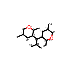 CC1COC(C)C(C(C(C)C)C2CC(C)COC2C)C1